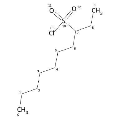 CCCCCCCC(CC)S(=O)(=O)Cl